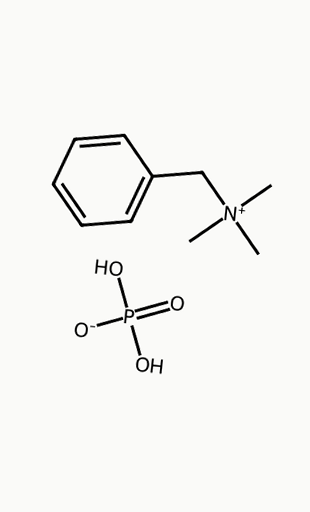 C[N+](C)(C)Cc1ccccc1.O=P([O-])(O)O